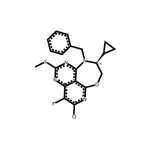 CSc1nc2c3c(nc(Cl)c(F)c3n1)OC[C@H](C1CC1)N2Cc1ccccc1